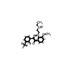 CC[S+]([O-])CCn1nc(-c2cccc(C(F)(F)F)c2F)c(=O)c2cccc(OC)c21